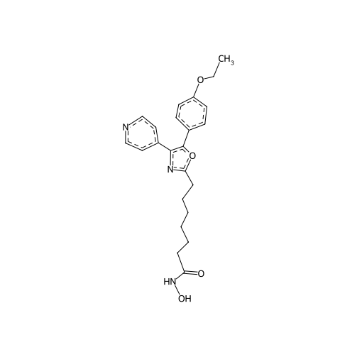 CCOc1ccc(-c2oc(CCCCCCC(=O)NO)nc2-c2ccncc2)cc1